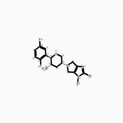 CCn1c(C(C)=O)nc2c1CN([C@H]1CO[C@H](c3cc(F)ccc3F)[C@@H](N)C1)C2